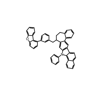 c1ccc(-n2c3cc4c(cc3c3ccc5ccccc5c32)-c2ccccc2CCC4Cc2cccc(-c3cccc4oc5ccccc5c34)c2)cc1